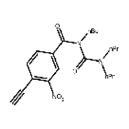 C#Cc1ccc(C(=O)N(CCCC)C(=O)N(CCC)CCC)cc1[N+](=O)[O-]